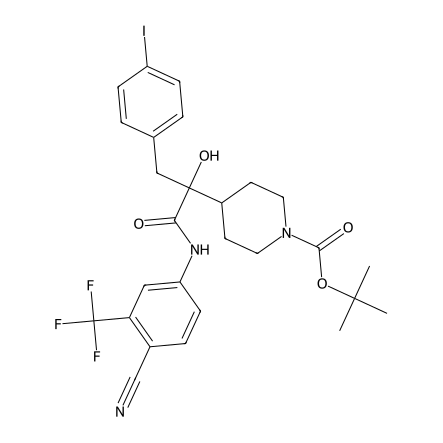 CC(C)(C)OC(=O)N1CCC(C(O)(Cc2ccc(I)cc2)C(=O)Nc2ccc(C#N)c(C(F)(F)F)c2)CC1